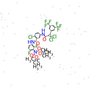 CC(C)(C)OC(=O)N(C(=O)OC(C)(C)C)c1c(F)ccc(NC(=O)c2cc(NC(=O)C3C(c4cc(C(F)(F)F)cc(C(F)(F)F)c4)C3(Cl)Cl)ccc2Cl)c1F